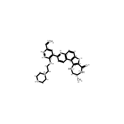 C=Cc1cc(-c2ccc3c(ccc4sc5c(c43)NC[C@@H](C)NC5=O)n2)c(OCCN2CCOCC2)nn1